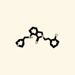 O=C1c2c(cccc2NCc2ccncc2)CN1CCc1ccccc1Cl